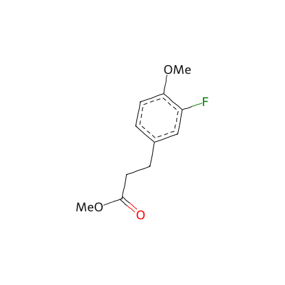 COC(=O)CCc1ccc(OC)c(F)c1